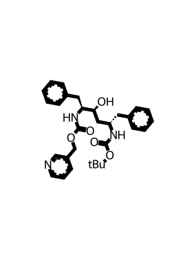 CC(C)(C)OC(=O)N[C@@H](Cc1ccccc1)C[C@H](O)[C@H](Cc1ccccc1)NC(=O)OCc1cccnc1